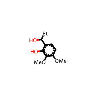 CCC(O)c1ccc(OC)c(OC)c1O